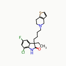 CCC1(CCCCN2CCc3sccc3C2)C(=O)Nc2c(Cl)cc(F)cc21